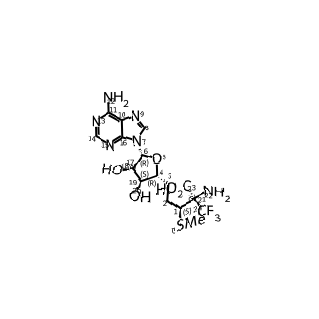 CS[C@@H](CC[C@H]1O[C@@H](n2cnc3c(N)ncnc32)[C@H](O)[C@@H]1O)[C@](N)(C(=O)O)C(F)(F)F